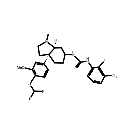 COc1cc([C@@]23CC[C@H](NC(=O)Nc4cccc(C(F)(F)F)c4F)C[C@@H]2N(C)CC3)ccc1OC(F)F